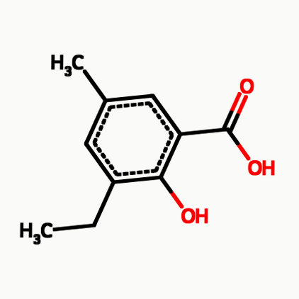 CCc1cc(C)cc(C(=O)O)c1O